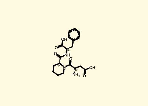 N[C@@H](CC(=O)O)C(=O)N1CCCC[C@H]1C(=O)N[C@H](Cc1ccccc1)C(=O)O